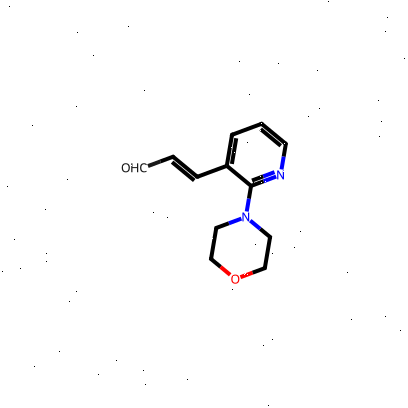 O=C/C=C/c1cccnc1N1CCOCC1